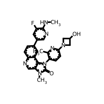 CNc1ncc(-c2ccc3ncc4c(c3c2)n(-c2ccc(N3CC(O)C3)nc2C)c(=O)n4C)cc1F